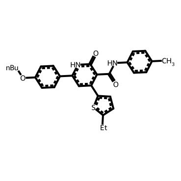 CCCCOc1ccc(-c2cc(-c3ccc(CC)s3)c(C(=O)Nc3ccc(C)cc3)c(=O)[nH]2)cc1